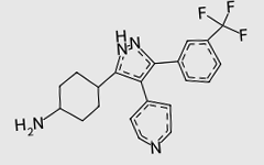 NC1CCC(c2[nH]nc(-c3cccc(C(F)(F)F)c3)c2-c2ccncc2)CC1